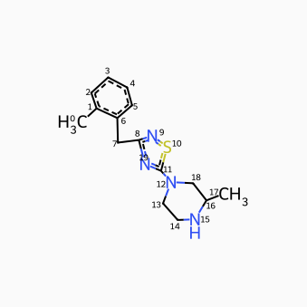 Cc1ccccc1Cc1nsc(N2CCNC(C)C2)n1